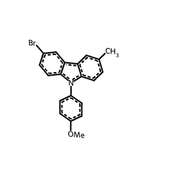 COc1ccc(-n2c3ccc(C)cc3c3cc(Br)ccc32)cc1